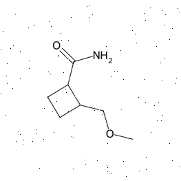 COCC1CCC1C(N)=O